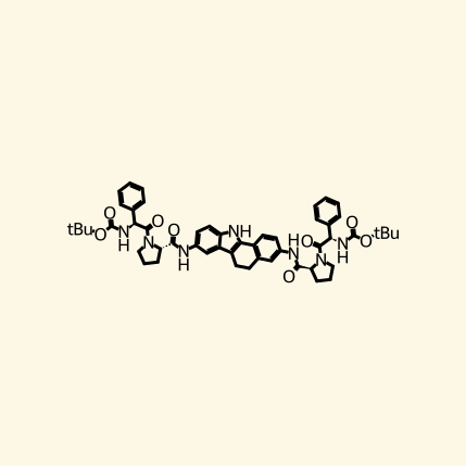 CC(C)(C)OC(=O)N[C@H](C(=O)N1CCC[C@H]1C(=O)Nc1ccc2c(c1)CCc1c-2[nH]c2ccc(NC(=O)[C@@H]3CCCN3C(=O)[C@@H](NC(=O)OC(C)(C)C)c3ccccc3)cc12)c1ccccc1